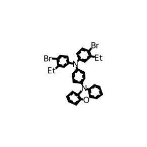 CCc1cc(N(c2ccc(N3c4ccccc4Oc4ccccc43)cc2)c2ccc(Br)c(CC)c2)ccc1Br